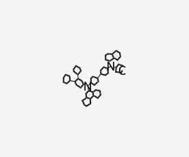 c1ccc(-c2ccc(N(c3ccc(-c4ccc(N(c5ccccc5)c5cccc6ccccc56)cc4)cc3)c3cc4ccccc4c4ccccc34)cc2-c2ccccc2)cc1